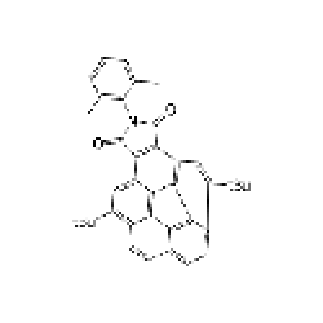 Cc1cccc(C)c1-n1c(=O)c2c3cc(C(C)(C)C)c4ccc5ccc6c(C(C)(C)C)cc(c2c1=O)c1c6c5c4c31